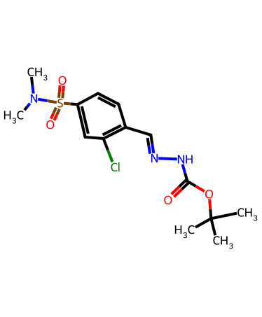 CN(C)S(=O)(=O)c1ccc(/C=N/NC(=O)OC(C)(C)C)c(Cl)c1